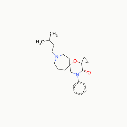 CC(C)CCN1CCCC2(CC1)CN(c1ccccc1)C(=O)C1(CC1)O2